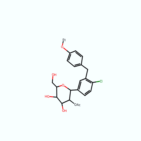 CCOc1ccc(Cc2cc(C3OC(CO)C(O)C(O)C3OC(C)=O)ccc2Cl)cc1